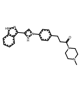 CN1CCN(C(=O)CCc2ccc(-n3cc(-c4n[nH]c5ccccc45)[nH]3)cc2)CC1